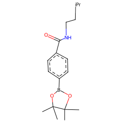 CC(C)CCNC(=O)c1ccc(B2OC(C)(C)C(C)(C)O2)cc1